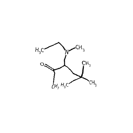 CCN(C)C(C(C)=O)C(C)(C)C